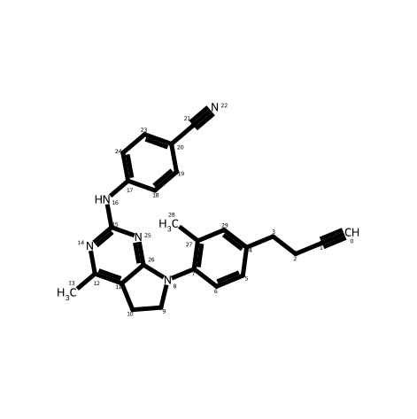 C#CCCc1ccc(N2CCc3c(C)nc(Nc4ccc(C#N)cc4)nc32)c(C)c1